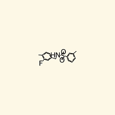 Cc1cccc(S(=O)(=O)NCc2ccc(C)c(F)c2)c1